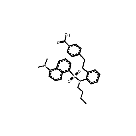 CCCCN(c1ccccc1CCc1ccc(C(=O)O)cc1)S(=O)(=O)c1cccc2c(N(C)C)cccc12